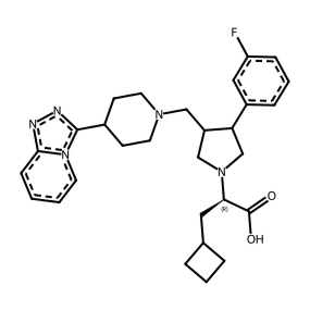 O=C(O)[C@@H](CC1CCC1)N1CC(CN2CCC(c3nnc4ccccn34)CC2)C(c2cccc(F)c2)C1